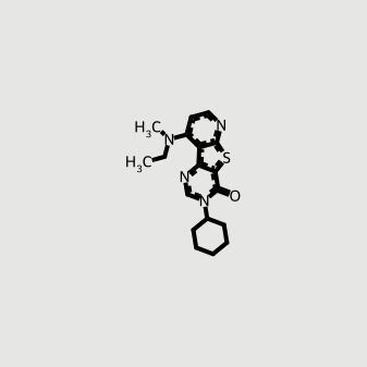 CCN(C)c1ccnc2sc3c(=O)n(C4CCCCC4)cnc3c12